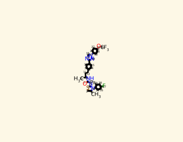 Cc1cs/c(=N\C(=O)NC(C)CCc2ccc(-c3ncn(-c4ccc(OC(F)(F)F)cc4)n3)cc2)n1-c1ccc(F)cc1C(C)C